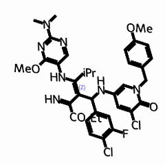 CCOC(=O)C(=N)/C(=C(\Nc1cnc(N(C)C)nc1OC)C(C)C)C(Nc1cc(Cl)c(=O)n(Cc2ccc(OC)cc2)c1)c1ccc(Cl)c(F)c1